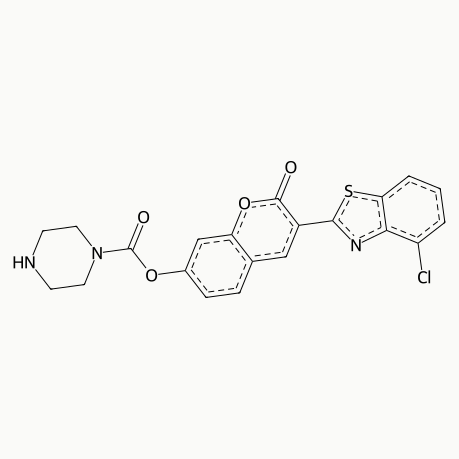 O=C(Oc1ccc2cc(-c3nc4c(Cl)cccc4s3)c(=O)oc2c1)N1CCNCC1